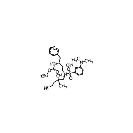 CN(C)c1cccc(S(=O)(=O)N(C[C@@H](O)[C@H](Cc2ccccc2)NC(=O)OC(C)(C)C)CC(C)(C)CCC#N)c1